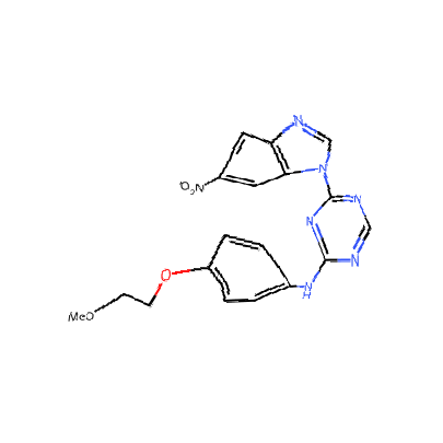 COCCOc1ccc(Nc2ncnc(-n3cnc4ccc([N+](=O)[O-])cc43)n2)cc1